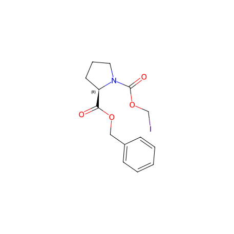 O=C(OCc1ccccc1)[C@H]1CCCN1C(=O)OCI